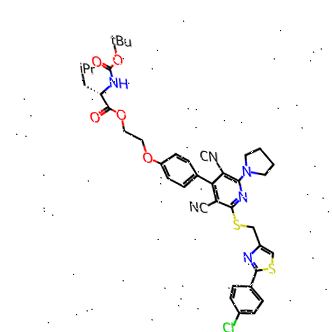 [C-]#[N+]c1c(N2CCCC2)nc(SCc2csc(-c3ccc(Cl)cc3)n2)c(C#N)c1-c1ccc(OCCOC(=O)[C@H](CC(C)C)NC(=O)OC(C)(C)C)cc1